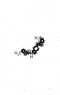 Cc1cccc(S(=O)(=O)NC(=O)Nc2ccc3c(c2)CCN(C(=O)NS(=O)(=O)c2cccc(C)c2)CC3)c1